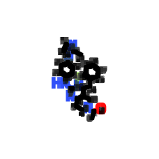 CC(=O)N1CCc2nc(Nc3ccc(-n4ccnc4C)cc3)nc(Cc3ccccc3F)c2C1